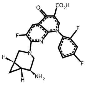 N[C@@H]1CN(c2nc3c(cc2F)c(=O)c(C(=O)O)cn3-c2ccc(F)cc2F)C[C@H]2C[C@H]21